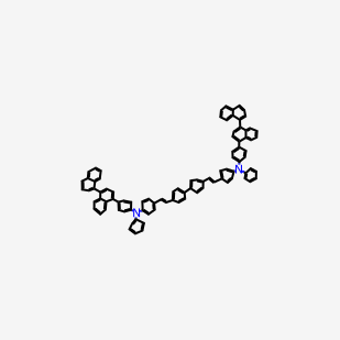 C(=Cc1ccc(N(c2ccccc2)c2ccc(-c3ccc(-c4cccc5ccccc45)c4ccccc34)cc2)cc1)c1ccc(-c2ccc(C=Cc3ccc(N(c4ccccc4)c4ccc(-c5ccc(-c6cccc7ccccc67)c6ccccc56)cc4)cc3)cc2)cc1